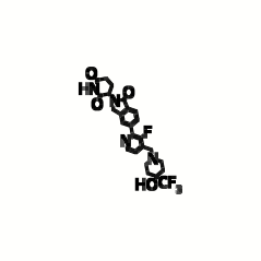 O=C1CCC(N2Cc3cc(-c4nccc(CN5CCC(O)(C(F)(F)F)CC5)c4F)ccc3C2=O)C(=O)N1